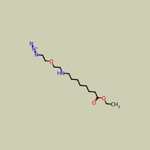 CCOC(=O)CCCCCCCNCCOCCN=[N+]=[N-]